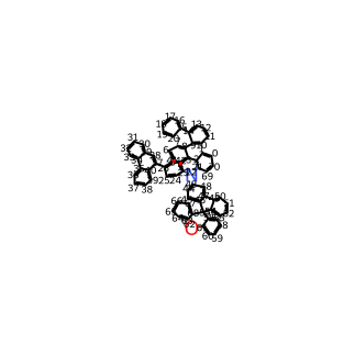 C1=CC(c2ccccc2-c2ccccc2-c2ccccc2)C(N(c2ccc(-c3cc4ccccc4c4ccccc34)cc2)c2ccc3c(c2)-c2ccccc2C32c3ccccc3Oc3ccccc32)C=C1